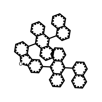 c1ccc2c(-c3c4ccccc4c(-c4ccc5oc6cccc(-c7c8ccccc8c(-c8cccc9ccccc89)c8ccccc78)c6c5c4)c4ccccc34)cccc2c1